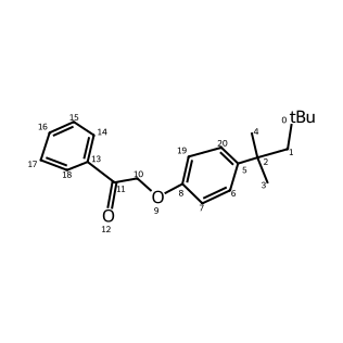 CC(C)(C)CC(C)(C)c1ccc(OCC(=O)c2ccccc2)cc1